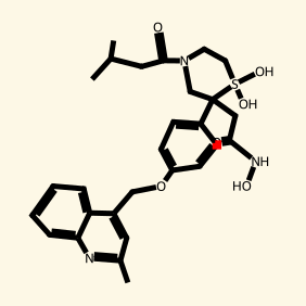 Cc1cc(COc2ccc(C3(CC(=O)NO)CN(C(=O)CC(C)C)CCS3(O)O)cc2)c2ccccc2n1